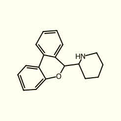 c1ccc2c(c1)OC(C1CCCCN1)c1ccccc1-2